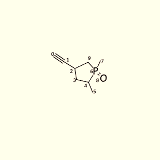 C#CC1CC(C)P(C)(=O)C1